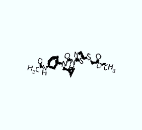 CCOC(=O)CSc1cnc(NC(=O)N(CC2CC2)c2cccc(NC(C)=O)c2)s1